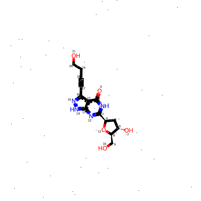 O=c1[nH]c([C@H]2C[C@H](O)[C@@H](CO)O2)nc2[nH]nc(C#CCCO)c12